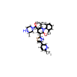 CCc1cccc(CC)c1-n1c(CC(C)C)c(C(=O)N2CCN[C@H](C)C2)cc(-c2nc(-c3ccc(C(F)(F)F)nc3)cs2)c1=O